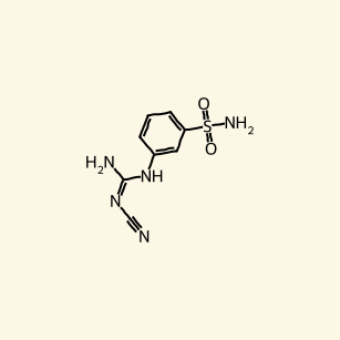 N#C/N=C(/N)Nc1cccc(S(N)(=O)=O)c1